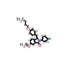 CCCCOc1ccc(C=C2c3ccc(OC)cc3C(=O)N2c2ccc(F)cc2)cc1